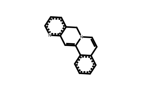 C1=CN2Cc3cccnc3C=C2c2ccccc21